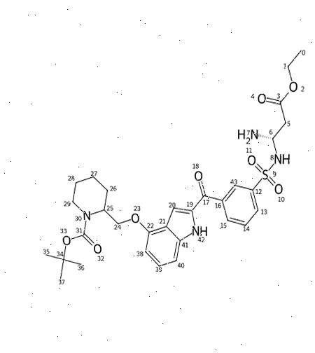 CCOC(=O)C[C@@H](N)NS(=O)(=O)c1cccc(C(=O)c2cc3c(OCC4CCCCN4C(=O)OC(C)(C)C)cccc3[nH]2)c1